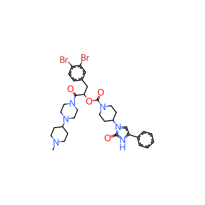 CN1CCC(N2CCN(C(=O)C(Cc3ccc(Br)c(Br)c3)OC(=O)N3CCC(n4cc(-c5ccccc5)[nH]c4=O)CC3)CC2)CC1